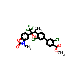 COC(=O)c1ccc(-c2ccc(C(C)C(O)(c3ccc4oc(=O)n(C)c4c3)C(F)(F)F)c(Cl)c2)cc1Cl